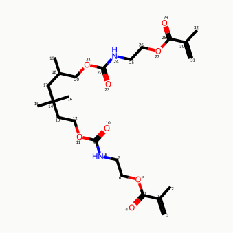 C=C(C)C(=O)OCCNC(=O)OCCC(C)(C)CC(C)COC(=O)NCCOC(=O)C(=C)C